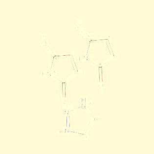 O=C1C=CC(=O)N1.O=C1C=CC(=O)N1.c1c[nH]nn1